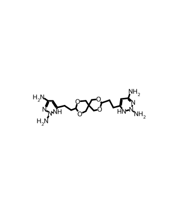 NC1=NN(N)NC(CCC2OCC3(CO2)COC(CCC2=CC(N)=NN(N)N2)OC3)=C1